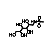 CS(=O)(=O)NCC(O)C(O)C(O)C(O)CO